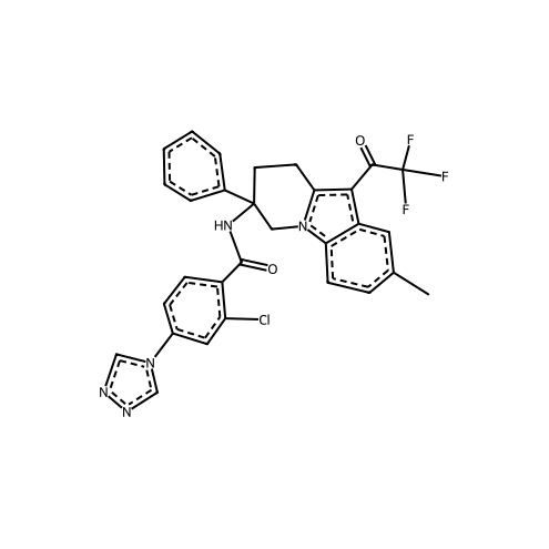 Cc1ccc2c(c1)c(C(=O)C(F)(F)F)c1n2CC(NC(=O)c2ccc(-n3cnnc3)cc2Cl)(c2ccccc2)CC1